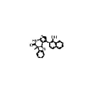 CC1(c2ccccc2)C(=O)Nc2scc(-c3ccc4ccccc4c3O)c2C1=O